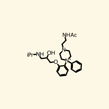 CC(=O)NCCN1CC[N+](c2ccccc2)(c2ccccc2OCC(O)CNC(C)C)CC1